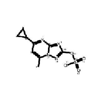 Cc1cc(C2CC2)nc2nc(OS(=O)(=O)Cl)nn12